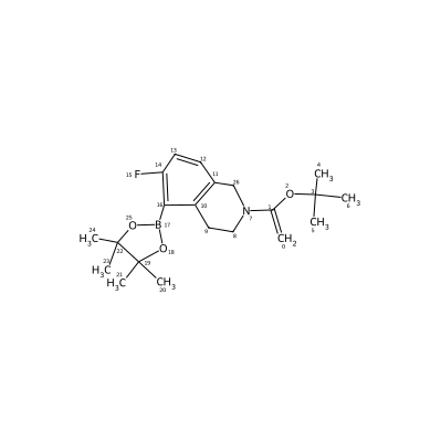 C=C(OC(C)(C)C)N1CCc2c(ccc(F)c2B2OC(C)(C)C(C)(C)O2)C1